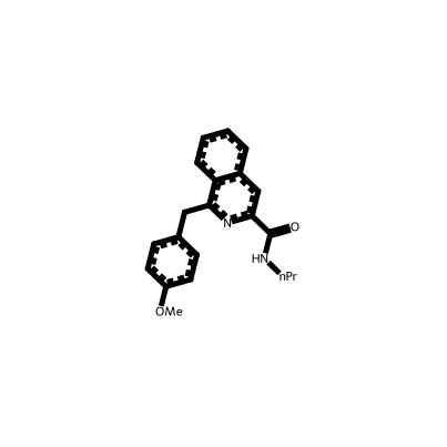 CCCNC(=O)c1cc2ccccc2c(Cc2ccc(OC)cc2)n1